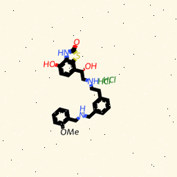 COc1ccccc1CNCc1cccc(CCNC[C@H](O)c2ccc(O)c3[nH]c(=O)sc23)c1.Cl.Cl